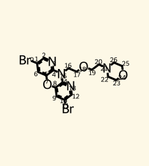 Brc1cnc2c(c1)Oc1cc(Br)cnc1N2CCOCCN1CCOCC1